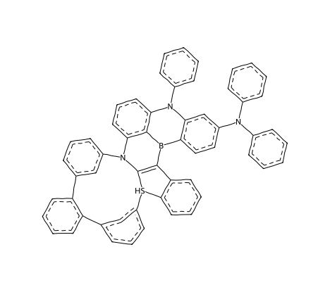 c1ccc(N(c2ccccc2)c2ccc3c(c2)N(c2ccccc2)c2cccc4c2B3C2=C3N4c4cccc(c4)-c4ccccc4-c4cccc(c4)[SH]3c3ccccc32)cc1